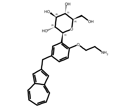 NCCOc1ccc(Cc2cc3cccccc-3c2)cc1[C@@H]1O[C@H](CO)[C@@H](O)[C@H](O)[C@H]1O